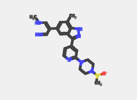 CN/C=C(\C=N)c1cc(C)c2[nH]nc(-c3ccnc(N4CCN([S+](C)[O-])CC4)c3)c2c1